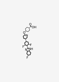 O=C(O)[C@H]1CC[C@@H](Oc2ccc(-c3cc(F)c(-c4nc5cc(F)ccc5[nH]4)c(F)c3)cn2)CC1